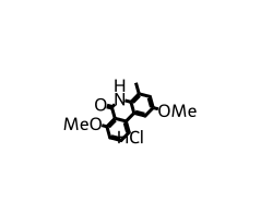 COc1cc(C)c2[nH]c(=O)c3c(OC)cccc3c2c1.Cl